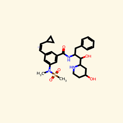 CN(c1cc(/C=C\C2CC2)cc(C(=O)NC(Cc2ccccc2)C(O)C2CC(O)CCN2)c1)S(C)(=O)=O